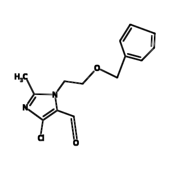 Cc1nc(Cl)c(C=O)n1CCOCc1ccccc1